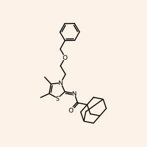 Cc1sc(=NC(=O)C23CC4CC(CC(C4)C2)C3)n(CCOCc2ccccc2)c1C